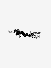 COC[C@H]1C[C@@H](c2ncc(-c3ccc4c(c3)COc3cc5c(ccc6nc([C@@H]7CCCN7C(=O)C(NC(=O)OC)C(C)C)[nH]c65)cc3-4)[nH]2)N(C(=O)O)C1